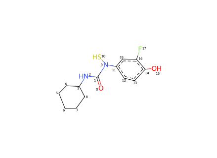 O=C(NC1CCCCC1)N(S)c1ccc(O)c(F)c1